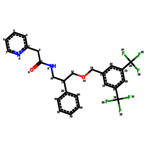 O=C(Cc1ccccn1)NCC(COCc1cc(C(F)(F)F)cc(C(F)(F)F)c1)c1ccccc1